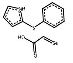 O=C(O)C=[Se].c1ccc(Sc2ccc[nH]2)cc1